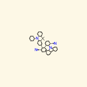 CC1(C)c2ccccc2N(c2ccccc2)c2ccc(-c3c(C#N)cccc3-c3cccc(C#N)c3-n3c4ccccc4c4ccccc43)cc21